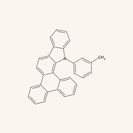 Cc1cccc(-n2c3ccccc3c3ccc4c5ccccc5c5ccccc5c4c32)c1